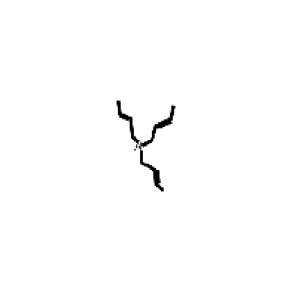 CC=C[CH2][Al]([CH2]C=CC)[CH2]C=CC